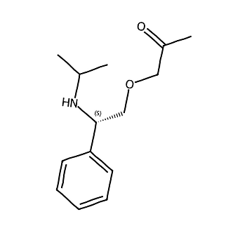 CC(=O)COC[C@@H](NC(C)C)c1ccccc1